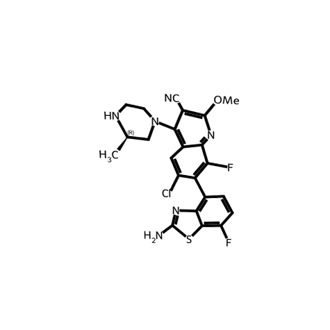 COc1nc2c(F)c(-c3ccc(F)c4sc(N)nc34)c(Cl)cc2c(N2CCN[C@H](C)C2)c1C#N